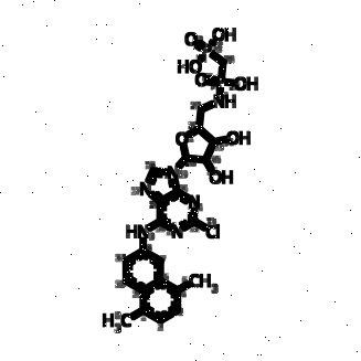 Cc1ccc(C)c2cc(Nc3nc(Cl)nc4c3ncn4C3OC(CNP(=O)(O)CP(=O)(O)O)C(O)C3O)ccc12